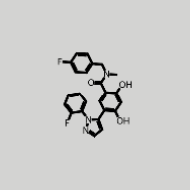 CN(Cc1ccc(F)cc1)C(=O)c1cc(-c2ccnn2-c2ccccc2F)c(O)cc1O